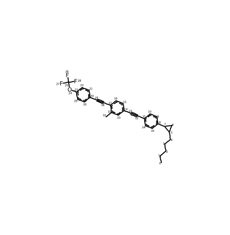 CCCCCC1CC1c1ccc(C#Cc2ccc(C#Cc3ccc(OC(F)(F)F)cc3)c(C)c2)cc1